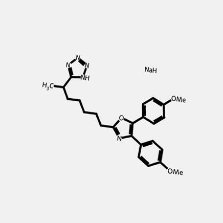 COc1ccc(-c2nc(CCCCCC(C)c3nnn[nH]3)oc2-c2ccc(OC)cc2)cc1.[NaH]